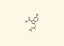 CC(C)C(=O)n1cc(CN(C)SN(C)C)c2ccc(Br)cc21